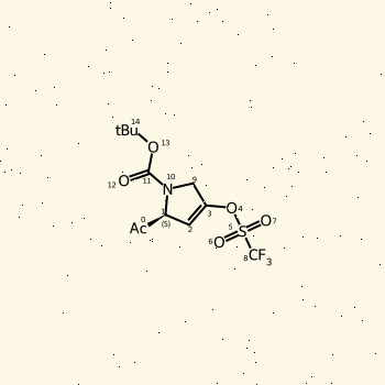 CC(=O)[C@@H]1C=C(OS(=O)(=O)C(F)(F)F)CN1C(=O)OC(C)(C)C